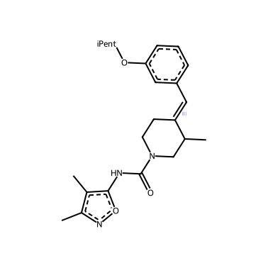 CCCC(C)Oc1cccc(/C=C2\CCN(C(=O)Nc3onc(C)c3C)CC2C)c1